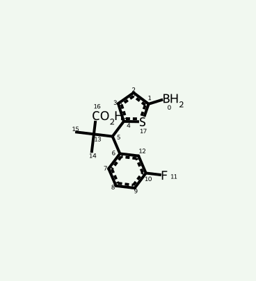 Bc1ccc(C(c2cccc(F)c2)C(C)(C)C(=O)O)s1